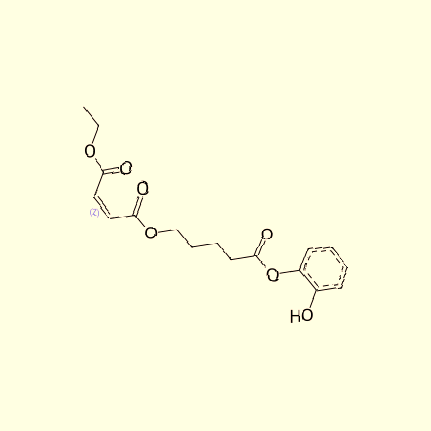 CCOC(=O)/C=C\C(=O)OCCCCC(=O)Oc1ccccc1O